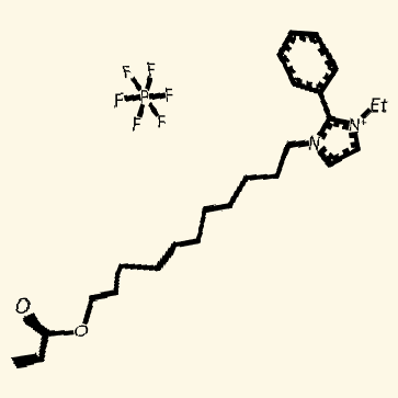 C=CC(=O)OCCCCCCCCCCCn1cc[n+](CC)c1-c1ccccc1.F[P-](F)(F)(F)(F)F